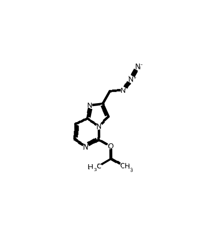 CC(C)Oc1nccc2nc(CN=[N+]=[N-])cn12